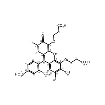 O=C(O)CCOc1c2oc3c(OCCC(=O)O)c(O)c(I)cc3c(-c3ccc(S(=O)(=O)O)cc3C(=O)O)c-2cc(I)c1=O